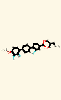 C=CC1COC(c2ccc(-c3ccc(-c4ccc(OCCCCCCCC)c(F)c4F)cc3)c(F)c2)OC1